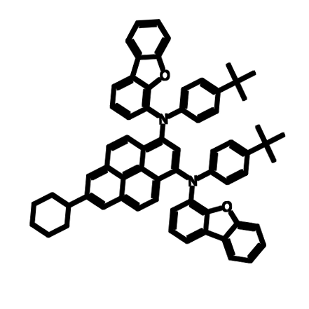 CC(C)(C)c1ccc(N(c2cc(N(c3ccc(C(C)(C)C)cc3)c3cccc4c3oc3ccccc34)c3ccc4cc(C5CCCCC5)cc5ccc2c3c54)c2cccc3c2oc2ccccc23)cc1